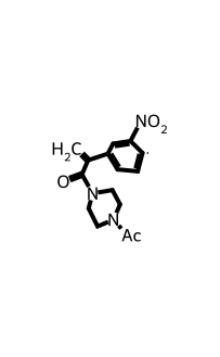 C=C(C(=O)N1CCN(C(C)=O)CC1)c1cc[c]c([N+](=O)[O-])c1